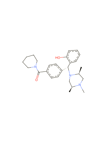 C[C@H]1CN([C@H](c2ccc(C(=O)N3CCCCC3)cc2)c2ccccc2O)[C@@H](C)CN1C